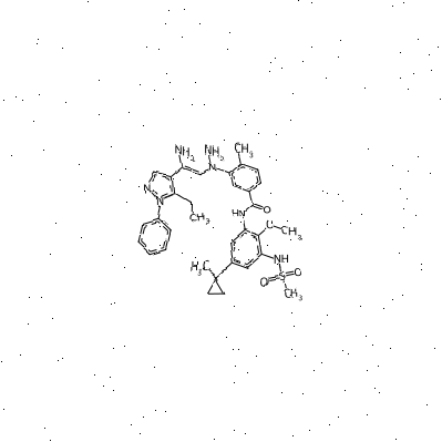 CCc1c(/C(N)=C/N(N)c2cc(C(=O)Nc3cc(C4(C)CC4)cc(NS(C)(=O)=O)c3OC)ccc2C)cnn1-c1ccccc1